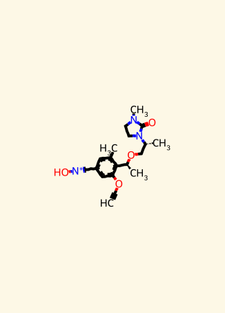 C#COc1cc(C#[N+]O)cc(C)c1[C@H](C)OC[C@@H](C)N1CCN(C)C1=O